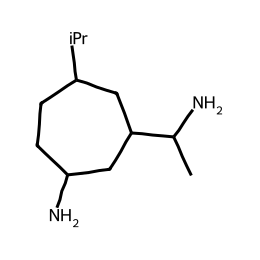 CC(C)C1CCC(N)CC(C(C)N)C1